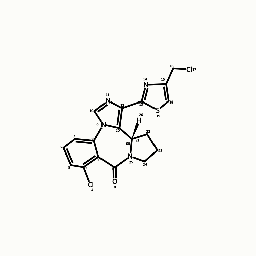 O=C1c2c(Cl)cccc2-n2cnc(-c3nc(CCl)cs3)c2[C@@H]2CCCN12